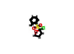 Cc1ccccc1S(=O)(=O)C1(Cl)CCCO1